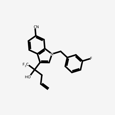 C=CCC(O)(c1cn(Cc2cccc(F)c2)c2cc(C#N)ccc12)C(F)(F)F